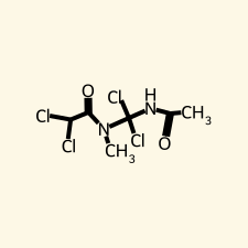 CC(=O)NC(Cl)(Cl)N(C)C(=O)C(Cl)Cl